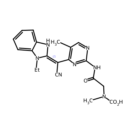 CCN1/C(=C(\C#N)c2nc(NC(=O)CN(C)C(=O)O)ncc2C)Nc2ccccc21